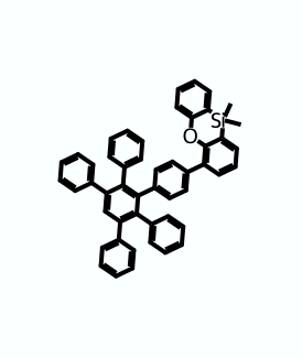 C[Si]1(C)c2ccccc2Oc2c(-c3ccc(-c4c(-c5ccccc5)c(-c5ccccc5)cc(-c5ccccc5)c4-c4ccccc4)cc3)cccc21